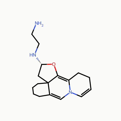 NCCN[C@H]1CC23CCCCC2=CN2C=CCCC2=C3O1